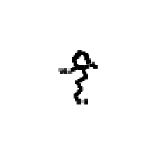 CCCCCCCCCCCCc1c(C(=O)[O-])ccc[n+]1C